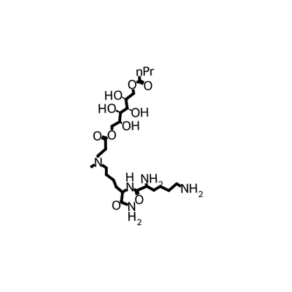 CCCC(=O)OC[C@@H](O)[C@H](O)[C@H](O)[C@@H](O)COC(=O)CCN(C)CCCCC(NC(=O)C(N)CCCCN)C(N)=O